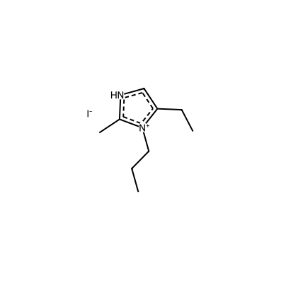 CCC[n+]1c(CC)c[nH]c1C.[I-]